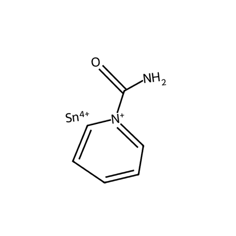 NC(=O)[n+]1ccccc1.[Sn+4]